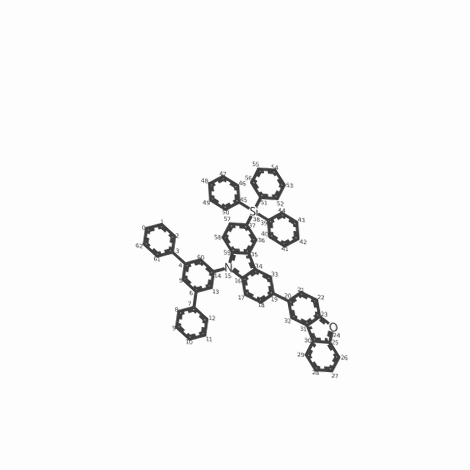 c1ccc(-c2cc(-c3ccccc3)cc(-n3c4ccc(-c5ccc6oc7ccccc7c6c5)cc4c4cc([Si](c5ccccc5)(c5ccccc5)c5ccccc5)ccc43)c2)cc1